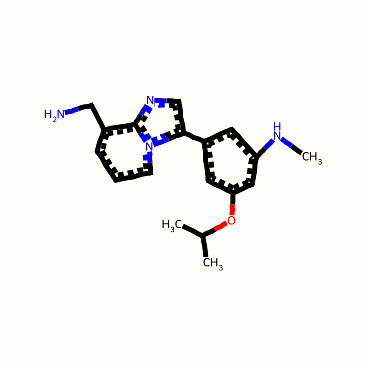 CNc1cc(OC(C)C)cc(-c2cnc3c(CN)cccn23)c1